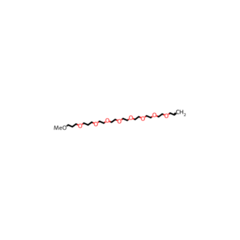 C=CCOCCOCCOCCOCCOCCOCCOCCCOCCCOC